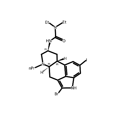 CCCN1C[C@@H](NC(=O)N(CC)CC)C[C@@H]2c3cc(I)cc4[nH]c(Br)c(c34)C[C@H]21